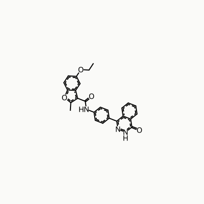 CCOc1ccc2oc(C)c(C(=O)Nc3ccc(-c4n[nH]c(=O)c5ccccc45)cc3)c2c1